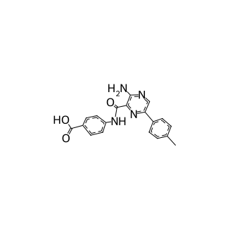 Cc1ccc(-c2cnc(N)c(C(=O)Nc3ccc(C(=O)O)cc3)n2)cc1